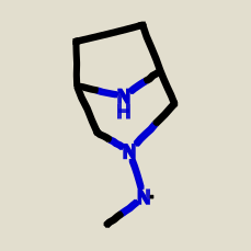 C[N]N1CC2CCC(C1)N2